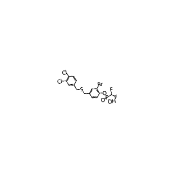 O=P(O)(Oc1ccc(CSCc2ccc(Cl)c(Cl)c2)cc1Br)C(F)F